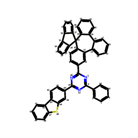 c1ccc(-c2nc(-c3ccc4c(c3)-c3ccccc3-c3ccccc3C43c4ccccc4-c4ccccc43)nc(-c3ccc4c(c3)sc3ccccc34)n2)cc1